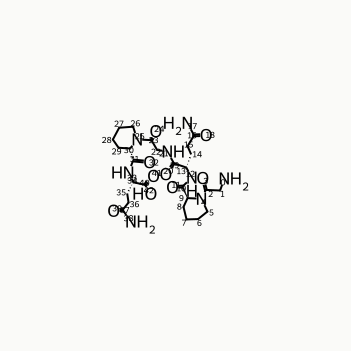 NCC(=O)N1CCCC[C@H]1C(=O)N[C@@H](CCC(N)=O)C(=O)NCC(=O)N1CCCC[C@H]1C(=O)N[C@@H](CCC(N)=O)C(=O)O